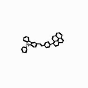 C(=Cc1ccc2c(c1)c1ccccc1n2-c1ccccc1)c1ccc(-c2ccc3ccc4cccc5ccc2c3c45)cc1